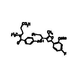 COc1cc(F)ccc1-c1cc(C(CC(C)C)Nc2ccc(C(=O)N(C)CCC(=O)O)cc2)c(C)o1